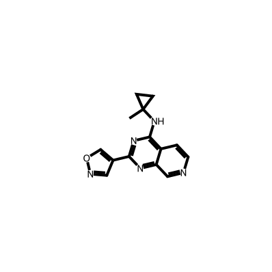 CC1(Nc2nc(-c3cnoc3)nc3cnccc23)CC1